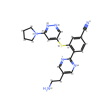 N#Cc1ccc(-c2ncc(CCN)cn2)c(Sc2cnnc(N3CCCC3)c2)c1